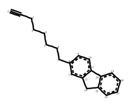 [C]#CCCCCCCc1ccc2c(c1)Cc1ccccc1-2